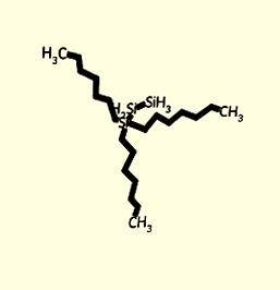 CCCCCCC[Si](CCCCCCC)(CCCCCCC)[SiH2][SiH3]